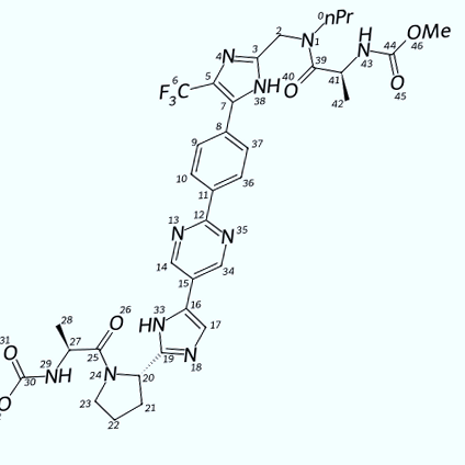 CCCN(Cc1nc(C(F)(F)F)c(-c2ccc(-c3ncc(-c4cnc([C@@H]5CCCN5C(=O)[C@H](C)NC(=O)OC)[nH]4)cn3)cc2)[nH]1)C(=O)[C@H](C)NC(=O)OC